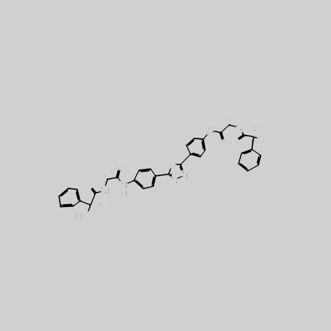 C[C@H](NC(=O)[C@@](C)(O)c1ccccc1)C(=O)Nc1ccc(-c2nnc(-c3ccc(NC(=O)[C@H](C)NC(=O)[C@@](C)(O)c4ccccc4)cc3)o2)cc1